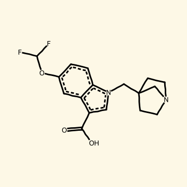 O=C(O)c1cn(CC23CCN(CC2)C3)c2ccc(OC(F)F)cc12